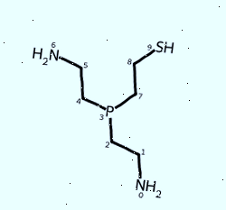 NCCP(CCN)CCS